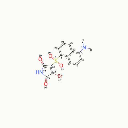 CN(C)c1cccc2c(S(=O)(=O)C3=C(Br)C(=O)NC3=O)cccc12